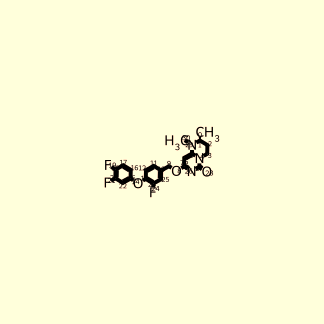 C[C@H]1CCn2c(cc(OCc3ccc(Oc4ccc(F)c(F)c4)c(F)c3)nc2=O)N1C